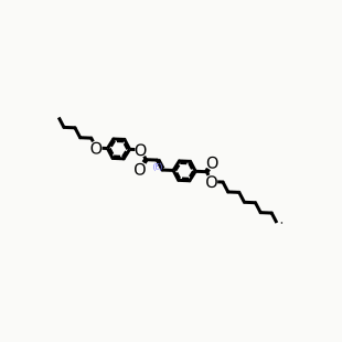 [CH2]CCCCCCCOC(=O)c1ccc(/C=C/C(=O)Oc2ccc(OCCCCC)cc2)cc1